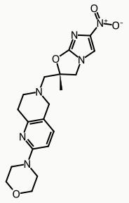 C[C@]1(CN2CCc3nc(N4CCOCC4)ccc3C2)Cn2cc([N+](=O)[O-])nc2O1